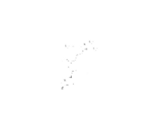 CC[Si](CC)(CC)OC(=O)C(C)CN(C)CCC[Si](OC)(OC)OC